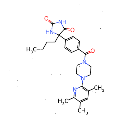 CCCCC1(c2ccc(C(=O)N3CCN(c4nc(C)c(C)cc4C)CC3)cc2)NC(=O)NC1=O